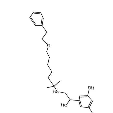 CC(C)(CCCCCOCCc1ccccc1)NCC(O)c1cc(O)cc(O)c1